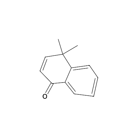 CC1(C)C=CC(=O)c2ccccc21